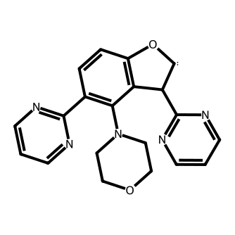 [C]1Oc2ccc(-c3ncccn3)c(N3CCOCC3)c2C1c1ncccn1